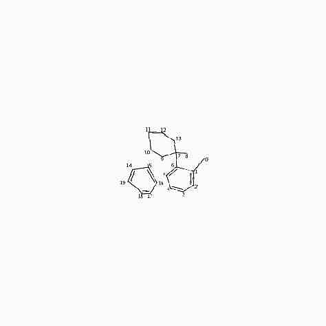 Cc1ccccc1C1(C)CCCCC1.c1ccccc1